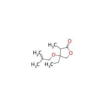 C=C(C)COC1(CC)COC(=O)C1C